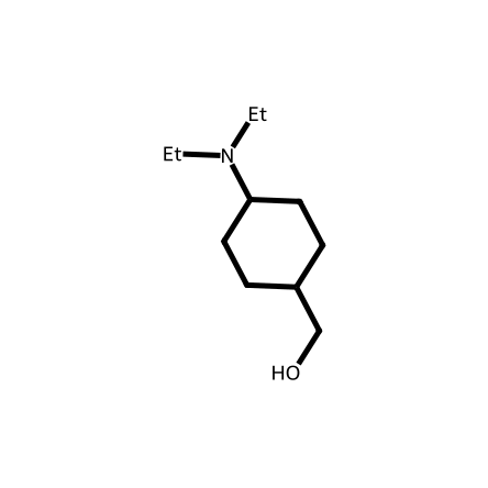 CCN(CC)C1CCC(CO)CC1